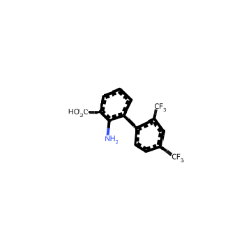 Nc1c(C(=O)O)cccc1-c1ccc(C(F)(F)F)cc1C(F)(F)F